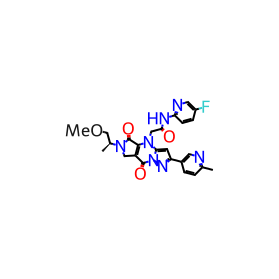 COC[C@H](C)N1Cc2c(n(CC(=O)Nc3ccc(F)cn3)c3cc(-c4ccc(C)nc4)nn3c2=O)C1=O